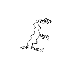 CCCCCCCCCCCCCCCCCC(=O)[O-].CCCCCCCCCCCCCCCCCC(=O)[O-].[Ca+2].[MgH2]